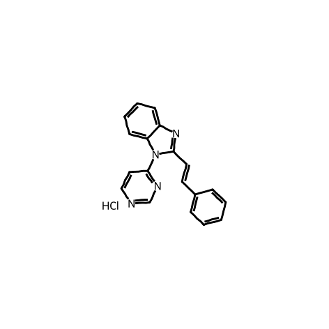 C(=Cc1nc2ccccc2n1-c1ccncn1)c1ccccc1.Cl